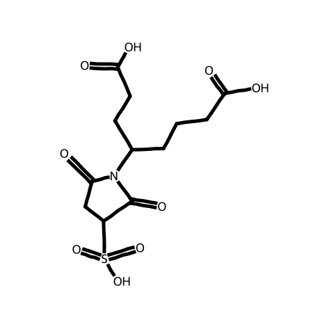 O=C(O)CCCC(CCC(=O)O)N1C(=O)CC(S(=O)(=O)O)C1=O